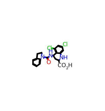 O=C(O)C1CC(NC(=O)N2CCc3ccccc32)c2c(Cl)cc(Cl)cc2N1